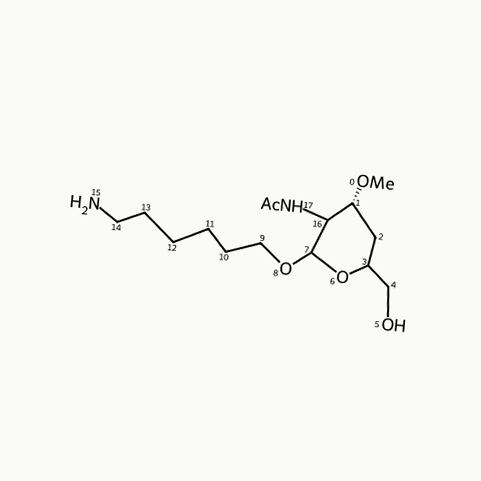 CO[C@@H]1CC(CO)OC(OCCCCCCN)C1NC(C)=O